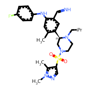 Cc1cc(Nc2ccc(F)cc2)c(C=N)cc1[C@@H]1CN(S(=O)(=O)c2cnn(C)c2C)CCN1CC(C)C